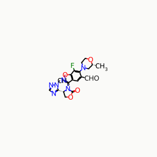 C[C@@H]1CN(c2c(C=O)cc3c(N4C(=O)OC[C@@H]4c4ncnn4C)noc3c2F)CCO1